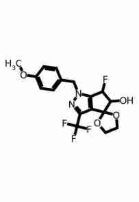 COc1ccc(Cn2nc(C(F)(F)F)c3c2C(F)C(O)C32OCCO2)cc1